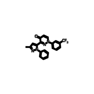 Cc1cc(-c2nn(-c3cccc(C(F)(F)F)c3)ccc2=O)n(-c2ccccc2)n1